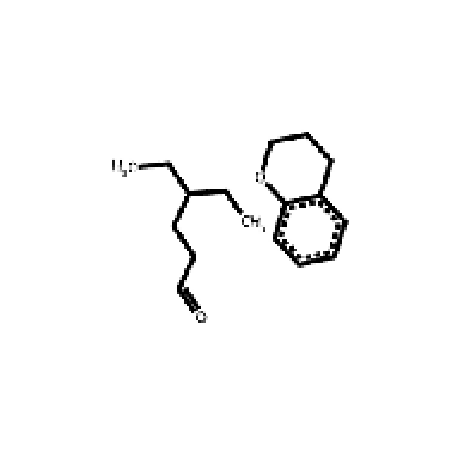 CCC(CC)CCC=O.c1ccc2c(c1)CCCO2